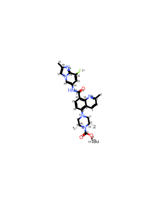 Cc1ccc2c(N3C[C@@H](C)N(C(=O)OC(C)(C)C)[C@@H](C)C3)ccc(C(=O)Nc3cc(F)c4nc(C)cn4c3)c2n1